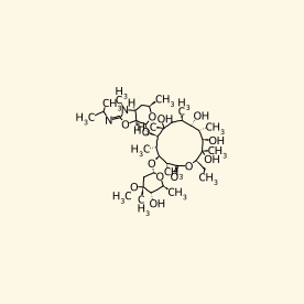 CC[C@H]1OC(=O)[C@H](C)[C@@H](O[C@H]2C[C@@](C)(OC)[C@@H](O)[C@H](C)O2)[C@H](C)[C@@H](O[C@@H]2O[C@H](C)C[C@H]3[C@H]2OC(=NC(C)C)N3C)[C@](C)(O)C[C@@H](C)[C@H](O)[C@H](C)[C@@H](O)[C@]1(C)O